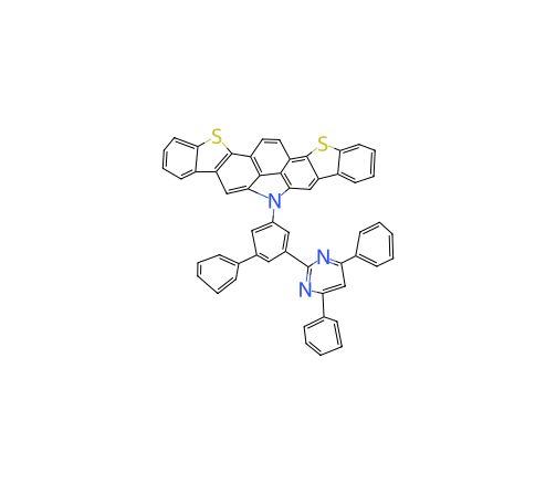 c1ccc(-c2cc(-c3nc(-c4ccccc4)cc(-c4ccccc4)n3)cc(-n3c4cc5c6ccccc6sc5c5ccc6c7sc8ccccc8c7cc3c6c54)c2)cc1